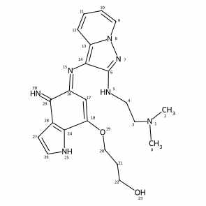 CN(C)CCNc1nn2ccccc2c1N=C1C=C(OCCCO)c2[nH]ccc2C1=N